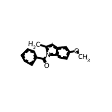 COc1ccc2c([c]c(C)n2C(=O)c2ccccc2)c1